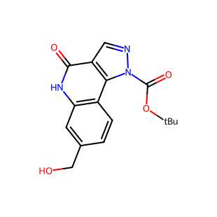 CC(C)(C)OC(=O)n1ncc2c(=O)[nH]c3cc(CO)ccc3c21